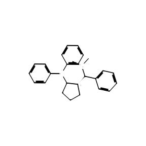 CN(C)C(c1ccccc1)[C@H]1CCCC1P(c1ccccc1)c1ccccc1